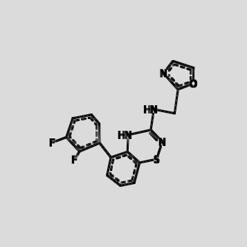 Fc1cccc(-c2cccc3c2NC(NCc2ncco2)=NS3)c1F